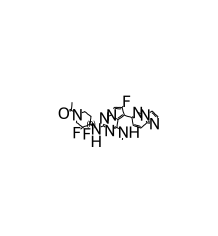 CNc1nc(N[C@@H]2CCN(C(C)=O)CC2(F)F)nn2cc(F)c(-c3ccc4nccn4n3)c12